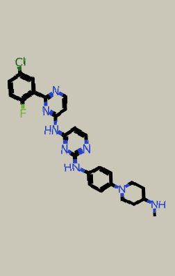 CNC1CCN(c2ccc(Nc3nccc(Nc4ccnc(-c5cc(Cl)ccc5F)n4)n3)cc2)CC1